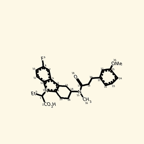 CCC(C(=O)O)n1c2c(c3cc(F)ccc31)CC(N(C)C(=O)CCc1cccc(OC)c1)CC2